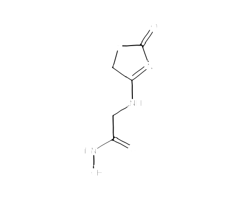 CNC(=O)CNC1=NC(=O)SC1